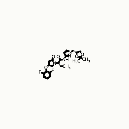 CC[C@@H](C(=O)Nc1ccn(C[C@@H]2COC(C)(C)O2)n1)N1CC(Oc2c(F)cccc2F)=CC1=O